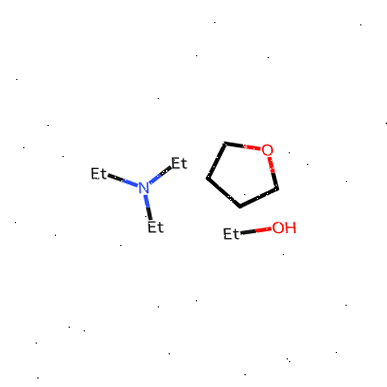 C1CCOC1.CCN(CC)CC.CCO